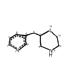 [c]1ncccc1CC1CNCCS1